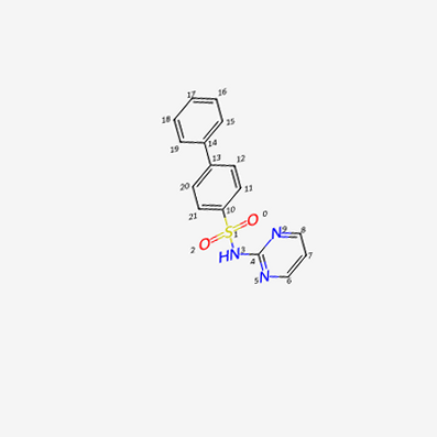 O=S(=O)(Nc1ncccn1)c1ccc(-c2ccccc2)cc1